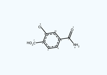 NC(=O)c1ccc(C(=O)O)c(Cl)c1